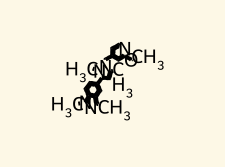 COc1cc(CN2C(C)=CC(c3ccc4c(c3)c(C)nn4C)N2C)ccn1